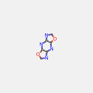 c1nc2nc3ocnc3nc2o1